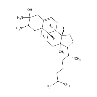 CC(C)CCC[C@@H](C)[C@H]1CC[C@H]2[C@@H]3CC=C4CC(N)(O)C(N)C[C@]4(C)[C@H]3CC[C@]12C